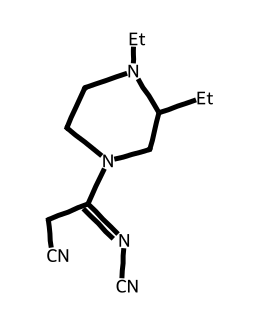 CCC1CN(C(CC#N)=NC#N)CCN1CC